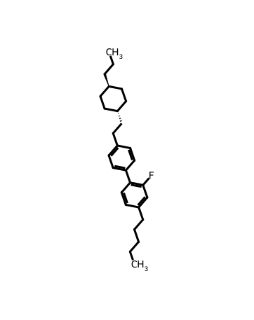 CCCCCc1ccc(-c2ccc(CC[C@H]3CC[C@H](CCC)CC3)cc2)c(F)c1